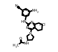 CC(=O)N[C@H]1CCN(c2nc(Nc3cc(N)cc(C#N)c3)nc3c2CCCC3)C1.Cl